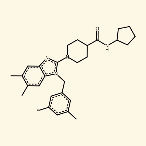 Cc1cc(F)cc(Cn2c(N3CCC(C(=O)NC4CCCC4)CC3)nc3cc(C)c(C)cc32)c1